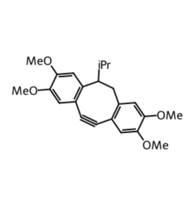 COc1cc2c(cc1OC)CC(C(C)C)c1cc(OC)c(OC)cc1C#C2